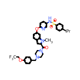 CC(C)c1ccc(S(=O)(=O)Nc2ccc(Oc3ccc4cc(C(=O)N5CCN(Cc6ccc(OCC(F)(F)F)cc6)CC5)n(C)c4c3)nc2)cc1